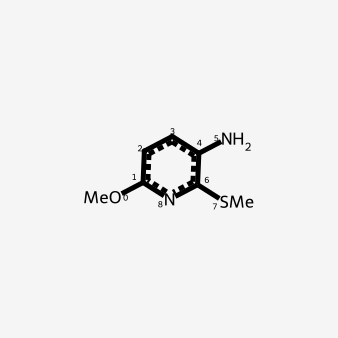 COc1ccc(N)c(SC)n1